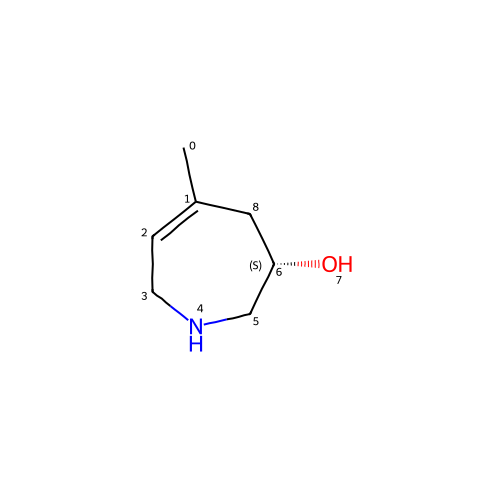 CC1=CCNC[C@@H](O)C1